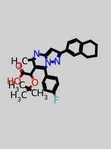 Cc1nc2cc(-c3ccc4c(c3)CCCC4)nn2c(-c2ccc(F)cc2)c1C(OC(C)(C)C)C(=O)O